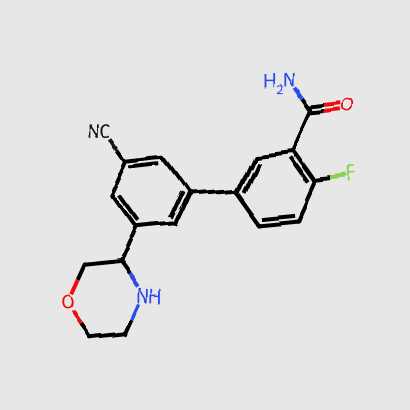 N#Cc1cc(-c2ccc(F)c(C(N)=O)c2)cc(C2COCCN2)c1